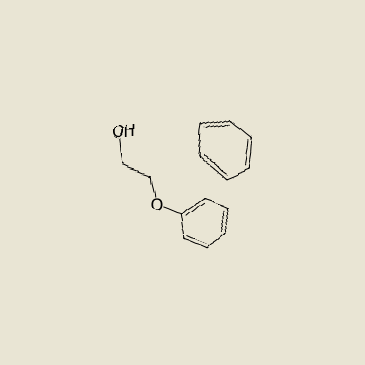 OCCOc1ccccc1.c1ccccc1